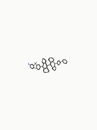 CC1(C)c2cc(I)ccc2-c2ccc(-c3c4ccccc4c(-c4c5ccccc5c(-c5ccc(-c6ccccc6)cc5)c5ccccc45)c4ccccc34)cc21